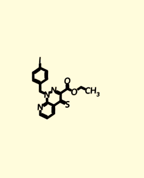 CCOC(=O)c1nn(Cc2ccc(I)cc2)c2ncccc2c1=S